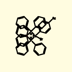 CC(=O)c1cc[c]([Pd]([Br])([PH](c2ccccc2)(c2ccccc2)c2ccccc2)[PH](c2ccccc2)(c2ccccc2)c2ccccc2)cc1